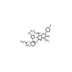 Cc1nc(N[C@H](C)c2sc(-c3ccccc3CN(C)C)cc2Cl)c2cc(-c3ccc(F)cc3)c(=O)n(C)c2n1